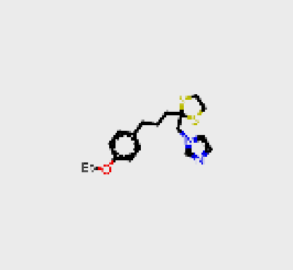 CCOc1ccc(CCCC2(Cn3ccnc3)SCCS2)cc1